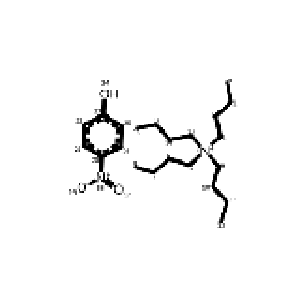 CCCC[N+](CCCC)(CCCC)CCCC.O=[N+]([O-])c1ccc(O)cc1